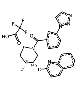 O=C(O)C(F)(F)F.O=C(c1cccc(-n2ccnn2)c1)N1CC[C@@H](F)[C@@H](Oc2ccc3ccccc3n2)C1